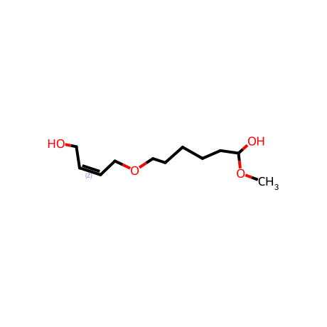 COC(O)CCCCCOC/C=C\CO